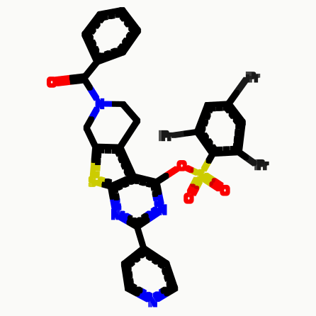 CC(C)c1cc(C(C)C)c(S(=O)(=O)Oc2nc(-c3ccncc3)nc3sc4c(c23)CCN(C(=O)c2ccccc2)C4)c(C(C)C)c1